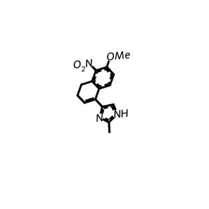 COc1ccc2c(c1[N+](=O)[O-])CCC=C2c1c[nH]c(C)n1